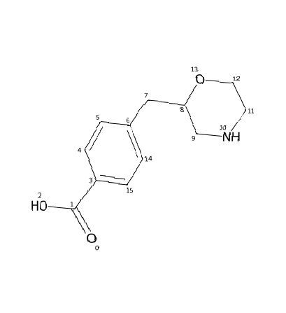 O=C(O)c1ccc(CC2CNCCO2)cc1